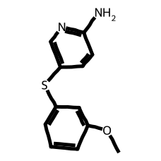 COc1cccc(Sc2ccc(N)nc2)c1